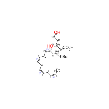 CC/C=C\C/C=C\C/C=C\C/C=C\C[C@@H](CCCC)C(C(=O)O)[C@H](O)CCO